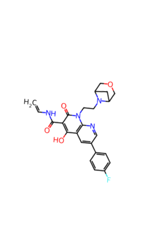 C=CNC(=O)c1c(O)c2cc(-c3ccc(F)cc3)cnc2n(CCN2C3COCC2C3)c1=O